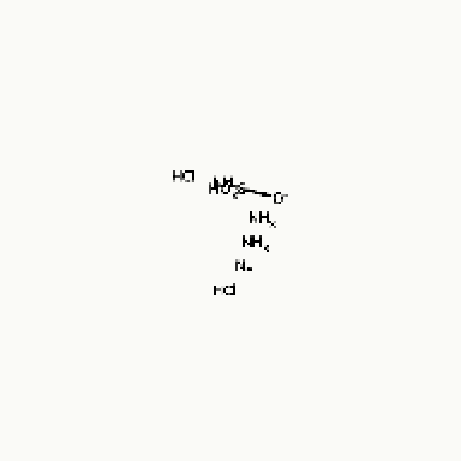 Cl.Cl.N.N.N.O=S(=O)([O-])O.[Na+]